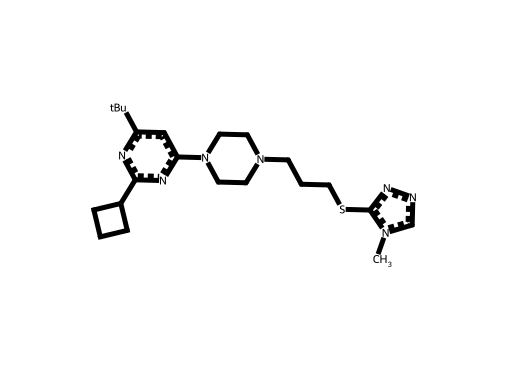 Cn1cnnc1SCCCN1CCN(c2cc(C(C)(C)C)nc(C3CCC3)n2)CC1